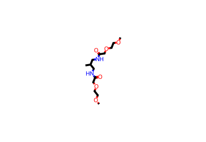 COCCOCC(=O)NCC(C)CNC(=O)COCCOC